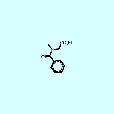 CCOC(=O)CN(C)C(=O)c1cc[c]cc1